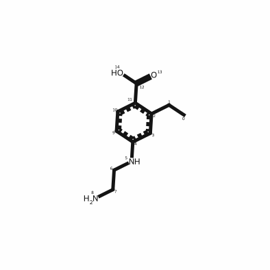 CCc1cc(NCCN)ccc1C(=O)O